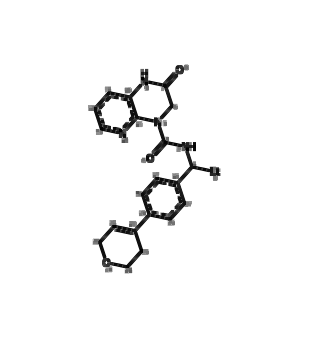 CCC(NC(=O)N1CC(=O)Nc2cccnc21)c1ccc(C2=CCOCC2)cc1